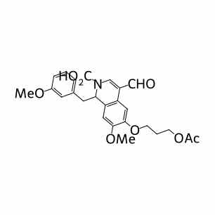 COc1cccc(CC2c3cc(OC)c(OCCCOC(C)=O)cc3C(C=O)=CN2C(=O)O)c1